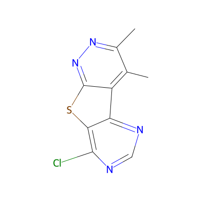 Cc1nnc2sc3c(Cl)ncnc3c2c1C